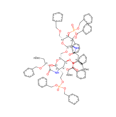 CCCCCCCCCCCC(=O)O[C@H](CCCCCCCCCCC)CC(=O)N[C@H]1[C@H](OC[C@H]2O[C@H](O)[C@](CCOP(=O)(OCc3ccccc3)OCc3ccccc3)(NC(=O)C[C@@H](CCCCCCCCCCC)OCc3ccccc3)[C@@H](OCc3ccccc3)[C@@H]2OCc2ccccc2)O[C@H](COCc2ccccc2)[C@@H](OP(=O)(OCc2ccccc2)OCc2ccccc2)[C@@H]1OCc1ccccc1